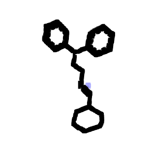 C(=N\CCP(c1ccccc1)c1ccccc1)/C1CCCCC1